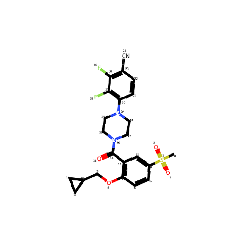 CS(=O)(=O)c1ccc(OCC2CC2)c(C(=O)N2CCN(c3ccc(C#N)c(F)c3F)CC2)c1